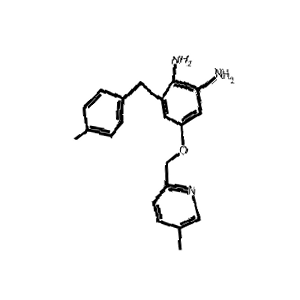 Cc1ccc(Cc2cc(OCc3ccc(C)cn3)cc(N)c2N)cc1